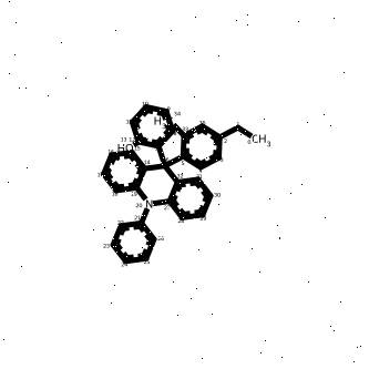 CCc1ccc(C2(c3ccccc3O)c3ccccc3N(c3ccccc3)c3ccccc32)c(C)c1